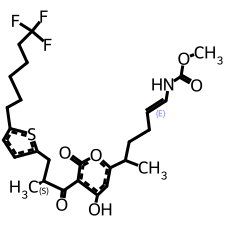 COC(=O)N/C=C/CCC(C)c1cc(O)c(C(=O)[C@@H](C)Cc2ccc(CCCCCC(F)(F)F)s2)c(=O)o1